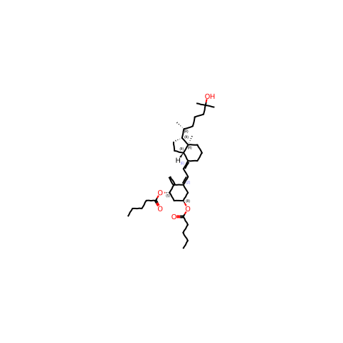 C=C1/C(=C\C=C2/CCC[C@]3(C)[C@@H]([C@H](C)CCCC(C)(C)O)CC[C@@H]23)C[C@@H](OC(=O)CCCC)C[C@@H]1OC(=O)CCCC